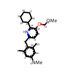 CNc1cc(C)c(Cc2ccc(OCOC)c(C3CCCCC3)n2)c(C)c1